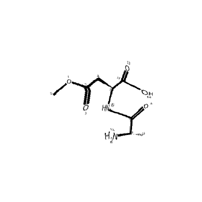 COC(=O)C[C@H](NC(=O)[C@H](C)N)C(=O)O